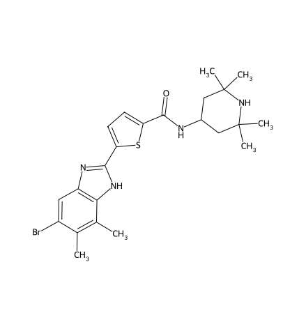 Cc1c(Br)cc2nc(-c3ccc(C(=O)NC4CC(C)(C)NC(C)(C)C4)s3)[nH]c2c1C